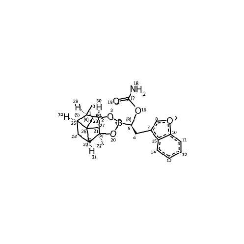 C[C@H]1[C@H]2OB([C@H](Cc3coc4ccccc34)OC(N)=O)O[C@@]2(C)[C@H]2C[C@@H]1C2(C)C